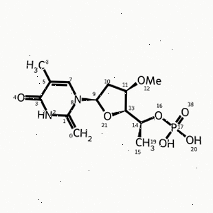 C=C1NC(=O)C(C)=CN1[C@H]1C[C@@H](OC)[C@@H]([C@H](C)OP(=O)(O)O)O1